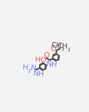 CCC(OC)c1cccc(C(Nc2ccc(C(=N)N)cc2)C(=O)O)c1